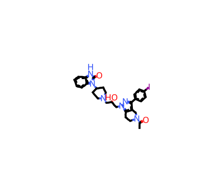 CC(=O)N1CCc2c(c(-c3ccc(I)cc3)nn2CC(O)CN2CCC(n3c(=O)[nH]c4ccccc43)CC2)C1